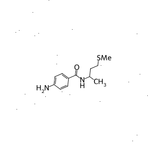 CSCCC(C)NC(=O)c1ccc(N)cc1